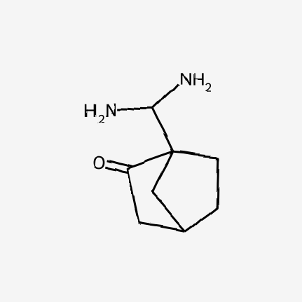 NC(N)C12CCC(CC1=O)C2